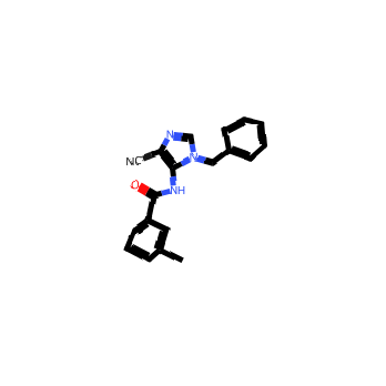 Cc1cccc(C(=O)Nc2c(C#N)ncn2Cc2ccccc2)c1